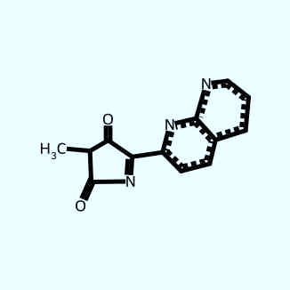 CC1C(=O)N=C(c2ccc3cccnc3n2)C1=O